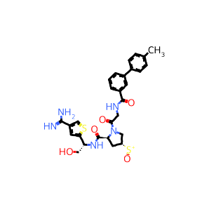 Cc1ccc(-c2cccc(C(=O)NCC(=O)N3C[C@H]([S+]=O)C[C@H]3C(=O)N[C@H](CO)c3cc(C(=N)N)cs3)c2)cc1